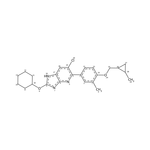 Cc1cc(-c2nc3nc(OC4CCCCC4)[nH]c3cc2Cl)ccc1OCC1CC1C